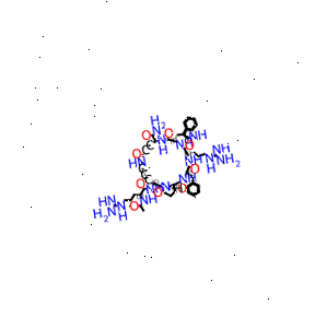 CC(=O)N[C@@H](CCCNC(=N)N)C(=O)N[C@H]1CCCNC(=O)CCC(C(N)=O)NC(=O)[C@H](Cc2c[nH]c3ccccc23)NC(=O)[C@H](CCCNC(=N)N)NC(=O)[C@@H](Cc2ccccc2)NC(=O)[C@@H]2CCCN2C1=O